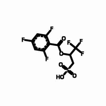 O=C(OC(CS(=O)(=O)O)C(F)(F)F)c1c(F)cc(F)cc1F